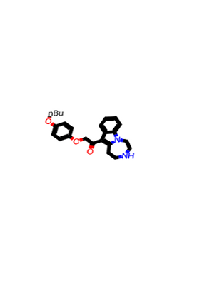 CCCCOc1ccc(OCC(=O)c2c3n(c4ccccc24)CCNCC3)cc1